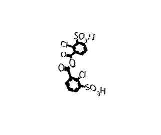 O=C(OC(=O)c1cccc(S(=O)(=O)O)c1Cl)c1cccc(S(=O)(=O)O)c1Cl